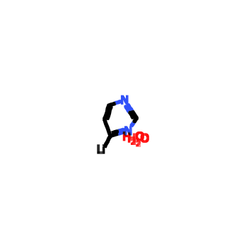 O.O.[Li][c]1ccncn1